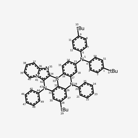 CC(C)(C)c1ccc(N(c2ccc(C(C)(C)C)cc2)c2ccc3c(c2)N(c2ccccc2)c2cc(C(C)(C)C)cc4c2B3c2nc3ccccn3c2N4c2ccccc2)cc1